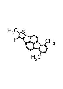 Cc1ccc(C)c2c1-c1ccc3c4c(ccc-2c14)-c1c-3sc(C)c1F